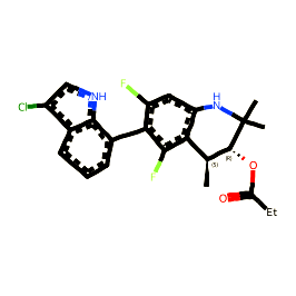 CCC(=O)O[C@@H]1[C@@H](C)c2c(cc(F)c(-c3cccc4c(Cl)c[nH]c34)c2F)NC1(C)C